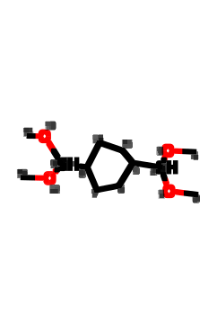 CO[SiH](OC)C1CCC([SiH](OC)OC)CC1